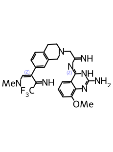 CN/C=C(\C(=N)C(F)(F)F)c1ccc2c(c1)CN(CC(=N)/N=c1\[nH]c(N)nc3c(OC)cccc13)CC2